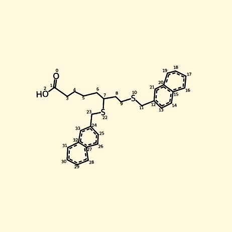 O=C(O)CCCCC(CCSCc1ccc2ccccc2c1)SCc1ccc2ccccc2c1